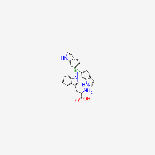 Brc1ccc2cc[nH]c2c1.NC(Cc1c[nH]c2ccccc12)C(=O)O.c1ccc2[nH]ccc2c1